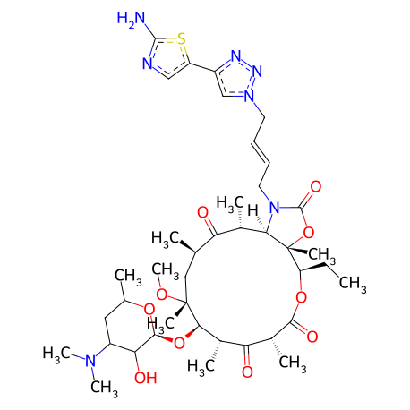 CC[C@H]1OC(=O)[C@H](C)C(=O)[C@H](C)[C@@H](O[C@@H]2OC(C)CC(N(C)C)C2O)[C@](C)(OC)C[C@@H](C)C(=O)[C@H](C)[C@H]2N(C/C=C/Cn3cc(-c4cnc(N)s4)nn3)C(=O)O[C@]12C